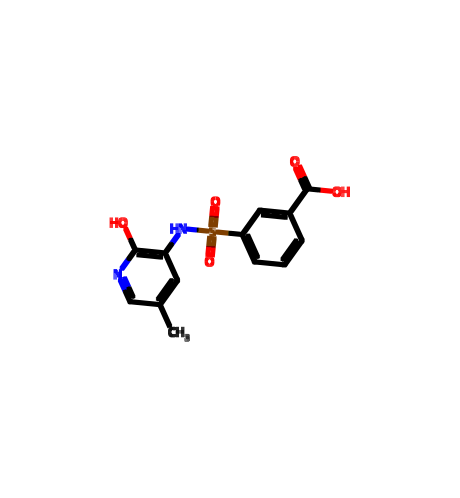 Cc1cnc(O)c(NS(=O)(=O)c2cccc(C(=O)O)c2)c1